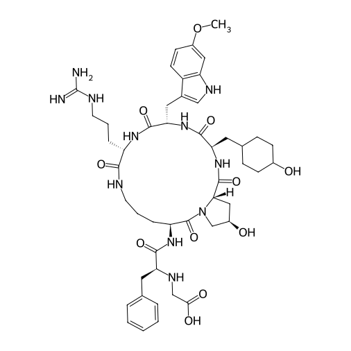 COc1ccc2c(C[C@@H]3NC(=O)[C@@H](CC4CCC(O)CC4)NC(=O)[C@@H]4C[C@@H](O)CN4C(=O)[C@@H](NC(=O)[C@H](Cc4ccccc4)NCC(=O)O)CCCNC(=O)[C@H](CCCNC(=N)N)NC3=O)c[nH]c2c1